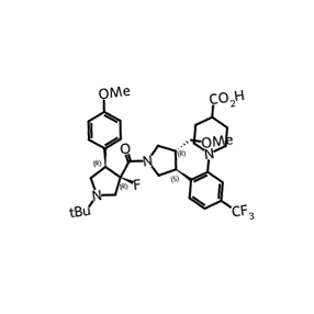 COC[C@H]1CN(C(=O)[C@]2(F)CN(C(C)(C)C)C[C@H]2c2ccc(OC)cc2)C[C@@H]1c1ccc(C(F)(F)F)cc1N1CCC(C(=O)O)CC1